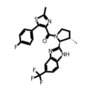 Cc1nc(C(=O)N2CC[C@H](C)[C@H]2c2nc3cc(C(F)(F)F)ccc3[nH]2)c(-c2ccc(F)cc2)s1